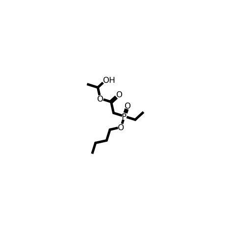 CCCCOP(=O)(CC)CC(=O)OC(C)O